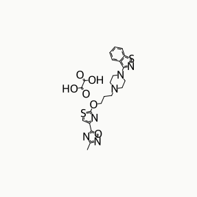 Cc1noc(-c2csc(OCCCN3CCN(c4nsc5ccccc45)CC3)n2)n1.O=C(O)C(=O)O